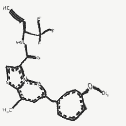 C#CC(NC(=O)c1cnc2c(C)cc(-c3cccc(OC)c3)nn12)C(F)(F)F